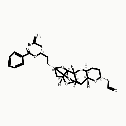 C=C(Br)C[C@H](CC[C@@]12C[C@H]3O[C@H]4C(O1)[C@H]1O[C@@H](CC=O)CC[C@@H]1O[C@H]4[C@H]3O2)OC(=O)c1ccccc1